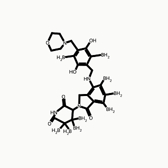 Bc1c(B)c(NCc2c(B)c(O)c(CN3CCOCC3)c(B)c2O)c2c(c1B)C(=O)N(C1C(=O)NC(=O)C(B)(B)C1(B)B)C2